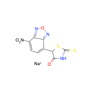 O=C1NC(=S)SC1c1ccc([N+](=O)[O-])c2nonc12.[Na+]